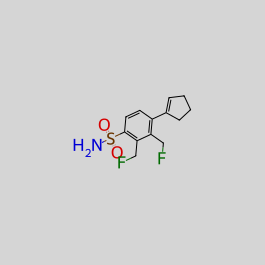 NS(=O)(=O)c1ccc(C2=CCCC2)c(CF)c1CF